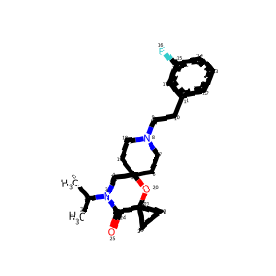 CC(C)N1CC2(CCN(CCc3cccc(F)c3)CC2)OC2(CC2)C1=O